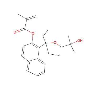 C=C(C)C(=O)Oc1ccc2ccccc2c1C(CC)(CC)OCC(C)(C)O